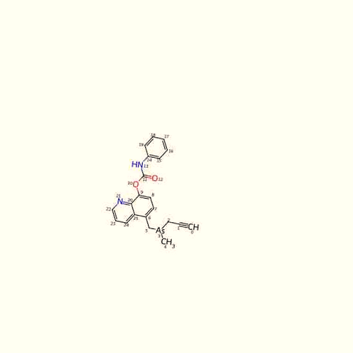 C#CC[As](C)Cc1ccc(OC(=O)Nc2ccccc2)c2ncccc12